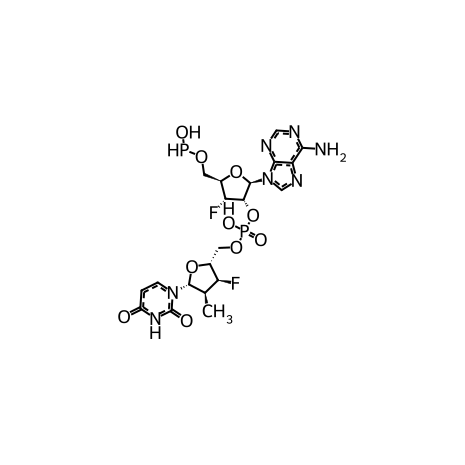 C[C@@H]1[C@H](F)[C@@H](COP(=O)(O)O[C@@H]2[C@H](F)[C@@H](COPO)O[C@H]2n2cnc3c(N)ncnc32)O[C@H]1n1ccc(=O)[nH]c1=O